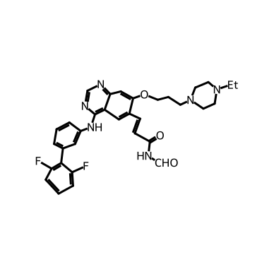 CCN1CCN(CCCOc2cc3ncnc(Nc4cccc(-c5c(F)cccc5F)c4)c3cc2C=CC(=O)NC=O)CC1